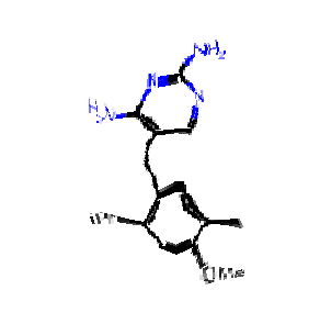 COc1cc(C(C)C)c(Cc2cnc(N)nc2N)cc1C